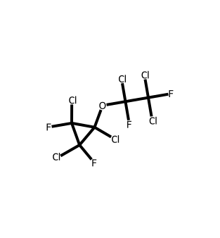 FC(Cl)(Cl)C(F)(Cl)OC1(Cl)C(F)(Cl)C1(F)Cl